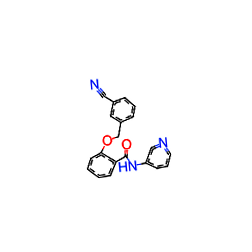 N#Cc1cccc(COc2ccccc2C(=O)Nc2cccnc2)c1